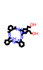 C=C1NC2N/C(=N\C3c4ccccc4/C(=N/c4[nH]c(c5ccccc45)/N=C(\C)c4ccccc41)N3C)c1cc(CCO)c(CCO)cc12